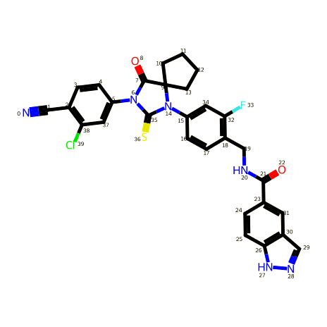 N#Cc1ccc(N2C(=O)C3(CCCC3)N(c3ccc(CNC(=O)c4ccc5[nH]ncc5c4)c(F)c3)C2=S)cc1Cl